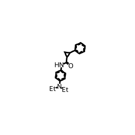 CCN(CC)c1ccc(NC(=O)C2CC2c2ccccc2)cc1